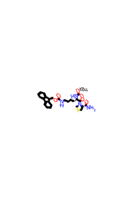 CC(C)(C)OC(=O)N[C@@H](CCCCNC(=O)OCC1c2ccccc2-c2ccccc21)C(=O)N1CSC[C@H]1C(N)=O